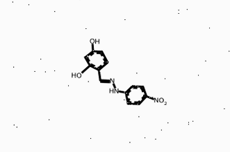 O=[N+]([O-])c1ccc(NN=Cc2ccc(O)cc2O)cc1